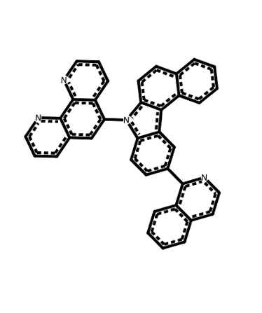 c1ccc2c(-c3ccc4c(c3)c3c5ccccc5ccc3n4-c3cc4cccnc4c4ncccc34)nccc2c1